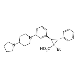 CC[C@@]1(C(=O)O)[C@@H](c2ccccc2)[C@@H]1c1cccc(N2CCC(N3CCCC3)CC2)c1